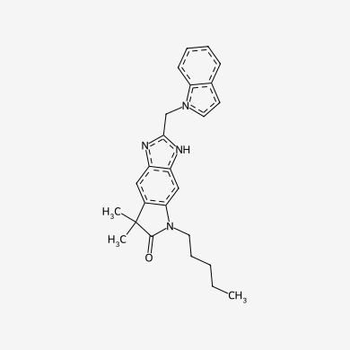 CCCCCN1C(=O)C(C)(C)c2cc3nc(Cn4ccc5ccccc54)[nH]c3cc21